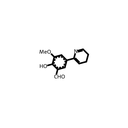 COc1cc(C2=CCCC=N2)cc(C=O)c1O